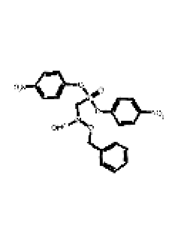 O=CN(CP(=O)(Oc1ccc([N+](=O)[O-])cc1)Oc1ccc([N+](=O)[O-])cc1)OCc1ccccc1